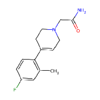 Cc1cc(F)ccc1C1=CCN(CC(N)=O)CC1